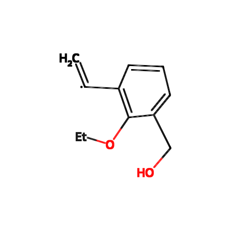 C=[C]c1cccc(CO)c1OCC